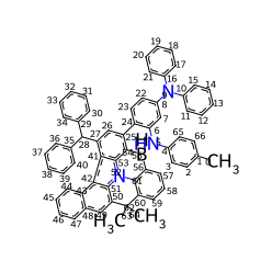 Cc1ccc(Nc2cc(N(c3ccccc3)c3ccccc3)ccc2-c2cc(C(c3ccccc3)c3ccccc3)c3c4c5ccccc5cc5c4n4c3c2Bc2cccc(c2-4)C5(C)C)cc1